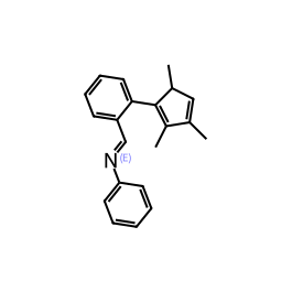 CC1=CC(C)C(c2ccccc2/C=N/c2ccccc2)=C1C